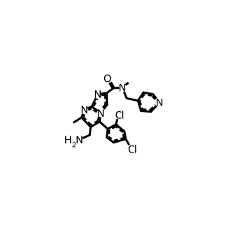 Cc1nc2nc(C(=O)N(C)Cc3ccncc3)cn2c(-c2ccc(Cl)cc2Cl)c1CN